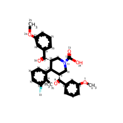 COc1cccc(C(=O)[C@H]2CN(C(=O)O)C[C@@H](C(=O)c3cccc(OC)c3)C2c2cccc(F)c2C)c1